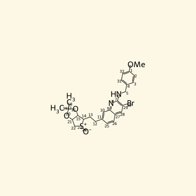 COc1ccc(CNc2nc3cc(CCC4C5OC(C)(C)OC5C[S+]4[O-])ccc3cc2Br)cc1